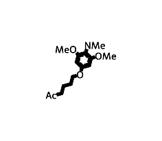 CNc1c(OC)cc(OCCCCC(C)=O)cc1OC